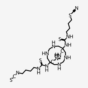 N#CSCCCCNC(=S)NC12CNCNCC(NC(=S)NCCCCN=C=S)(CNCNC1)CNCNC2